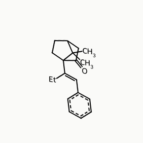 CCC(=Cc1ccccc1)C12CCC(CC1=O)C2(C)C